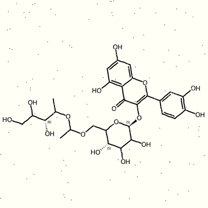 CC(OCC1O[C@@H](Oc2c(-c3ccc(O)c(O)c3)oc3cc(O)cc(O)c3c2=O)C(O)C(O)[C@@H]1O)OC(C)[C@H](O)C(O)CO